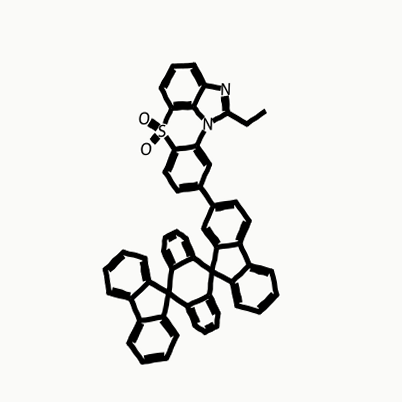 CCc1nc2cccc3c2n1-c1cc(-c2ccc4c(c2)C2(c5ccccc5-4)c4ccccc4C4(c5ccccc5-c5ccccc54)c4ccccc42)ccc1S3(=O)=O